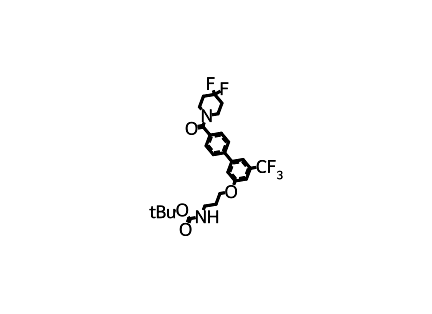 CC(C)(C)OC(=O)NCCCOc1cc(-c2ccc(C(=O)N3CCC(F)(F)CC3)cc2)cc(C(F)(F)F)c1